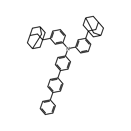 c1ccc(-c2ccc(-c3ccc(N(c4cccc(C56CC7CC(CC(C7)C5)C6)c4)c4cccc(C56CC7CC(CC(C7)C5)C6)c4)cc3)cc2)cc1